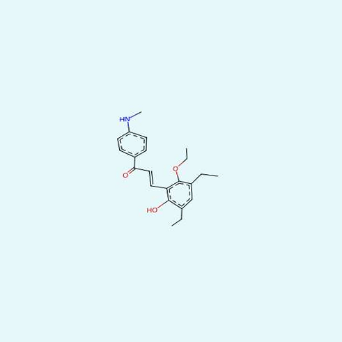 CCOc1c(CC)cc(CC)c(O)c1C=CC(=O)c1ccc(NC)cc1